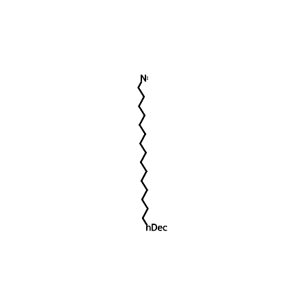 CCCCCCCCCCCCCCCCCCCCCCCCC[N]